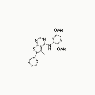 COc1ccc(OC)c(Nc2ncnc3sc(-c4ccccc4)c(C)c23)c1